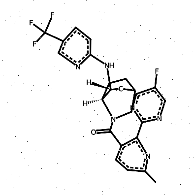 Cc1ccc(C(=O)N2CC3CC[C@H]2[C@H](Nc2ccc(C(F)(F)F)cn2)C3)c(-c2ncc(F)cn2)n1